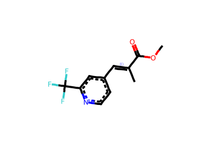 COC(=O)/C(C)=C/c1ccnc(C(F)(F)F)c1